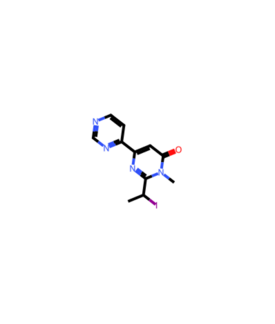 CC(I)c1nc(-c2ccncn2)cc(=O)n1C